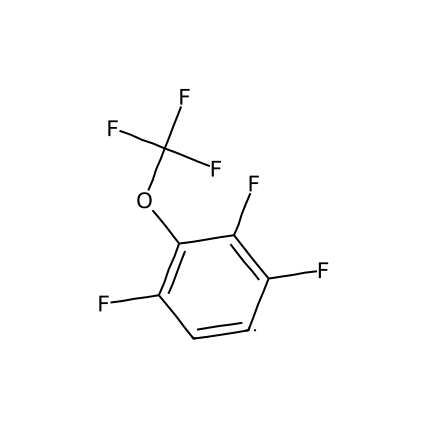 Fc1[c]cc(F)c(OC(F)(F)F)c1F